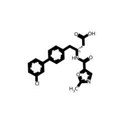 Cc1ncc(C(=O)N[C@@H](CC(=O)O)Cc2ccc(-c3cccc(Cl)c3)cc2)o1